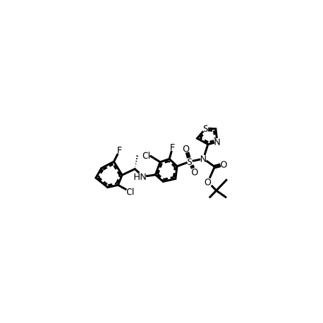 C[C@H](Nc1ccc(S(=O)(=O)N(C(=O)OC(C)(C)C)c2cscn2)c(F)c1Cl)c1c(F)cccc1Cl